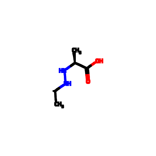 C[CH]NN[C@@H](C)C(=O)O